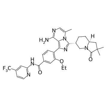 CCOc1cc(C(=O)Nc2cc(C(F)(F)F)ccn2)ccc1-c1nc([C@@H]2CC[C@H]3CC(C)(C)C(=O)N3C2)n2c(C)cnc(N)c12